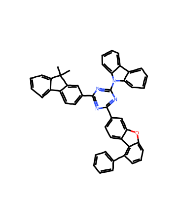 CC1(C)c2ccccc2-c2ccc(-c3nc(-c4ccc5c(c4)oc4cccc(-c6ccccc6)c45)nc(-n4c5ccccc5c5ccccc54)n3)cc21